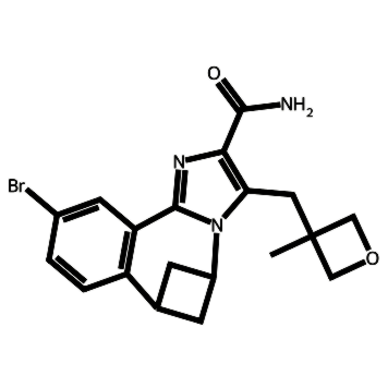 CC1(Cc2c(C(N)=O)nc3n2C2CC(C2)c2ccc(Br)cc2-3)COC1